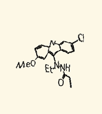 C=CC(=O)NN(CC)c1c2ccc(Cl)cc2nc2ccc(OC)cc12